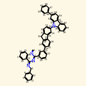 C=N/C(=N\C(=N/Cc1ccccc1)c1ccccc1)c1cccc(-c2ccc3c(c2)Cc2ccc(-n4c5ccccc5c5ccc(-c6ccccc6)cc54)cc2-3)c1